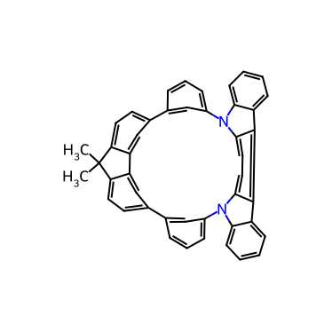 CC1(C)c2ccc3cc2c2cc(ccc21)c1cccc(c1)n1c2ccccc2c2c4c5ccccc5n(c5cccc3c5)c4ccc21